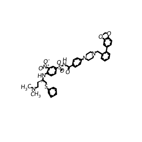 CN(C)CC[C@H](CSc1ccccc1)Nc1ccc(S(=O)(=O)NC(=O)c2ccc(N3CCN(Cc4ccccc4-c4ccc5c(c4)OCO5)CC3)cc2)cc1[N+](=O)[O-]